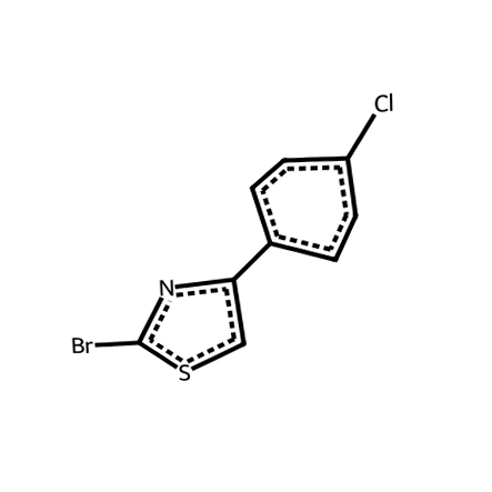 Clc1ccc(-c2csc(Br)n2)cc1